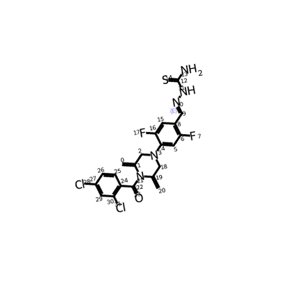 C=C1CN(c2cc(F)c(/C=N/NC(N)=S)cc2F)CC(=C)N1C(=O)c1ccc(Cl)cc1Cl